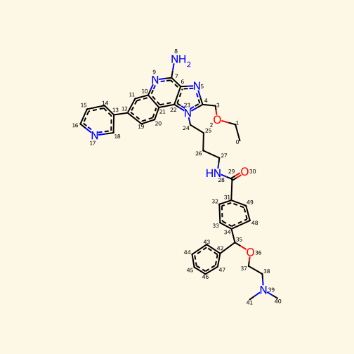 CCOCc1nc2c(N)nc3cc(-c4cccnc4)ccc3c2n1CCCCNC(=O)c1ccc(C(OCCN(C)C)c2ccccc2)cc1